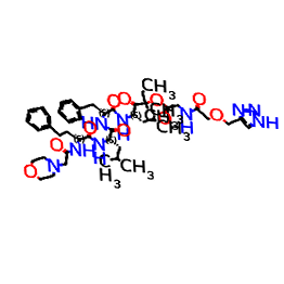 CCC(C)(OC(=O)CNC(=O)COCc1c[nH]nn1)C(=O)[C@H](CC(C)C)NC(=O)[C@H](Cc1ccccc1)NC(=O)[C@H](CC(C)C)NC(=O)[C@H](CCc1ccccc1)NC(=O)CN1CCOCC1